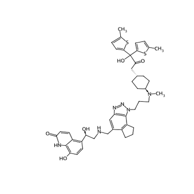 Cc1ccc(C(O)(C(=O)C[C@H]2CC[C@H](N(C)CCCn3nnc4cc(CNC[C@H](O)c5ccc(O)c6[nH]c(=O)ccc56)c5c(c43)CCC5)CC2)c2ccc(C)s2)s1